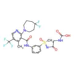 Cc1c(C(F)(F)F)cnc(N2CCCC(F)(F)CC2)c1C(=O)Nc1cccc(S(C)(=O)=NC(=O)CNC(=O)O)c1